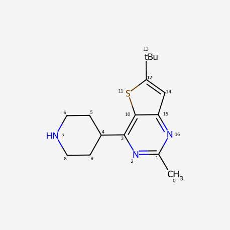 Cc1nc(C2CCNCC2)c2sc(C(C)(C)C)cc2n1